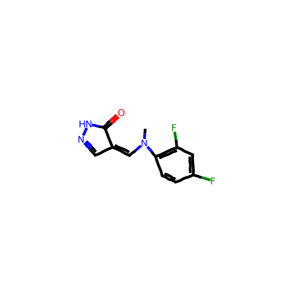 CN(C=C1C=NNC1=O)c1ccc(F)cc1F